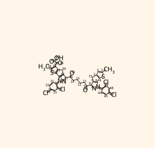 Cc1cc2c(s1)-c1c(c(C(=O)CCCCC(=O)c3nn(-c4ccc(Cl)cc4Cl)c4c3Cc3c-4sc(C)c3S(=O)(=O)O)nn1-c1ccc(Cl)cc1Cl)C2